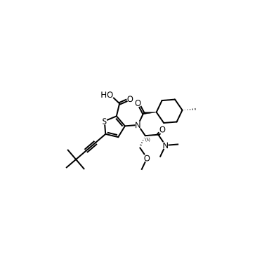 COC[C@@H](C(=O)N(C)C)N(c1cc(C#CC(C)(C)C)sc1C(=O)O)C(=O)[C@H]1CC[C@H](C)CC1